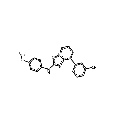 N#Cc1cncc(-c2nccn3nc(Nc4ccc(OC(F)(F)F)cc4)nc23)c1